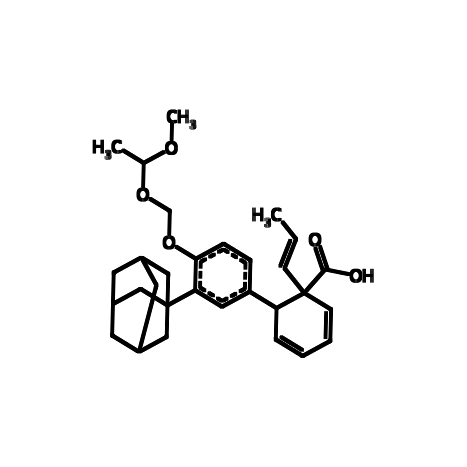 CC=CC1(C(=O)O)C=CC=CC1c1ccc(OCOC(C)OC)c(C23CC4CC(CC(C4)C2)C3)c1